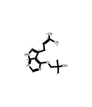 CC(C)(O)COc1ncnc2[nH]cc(CC=C(C#N)C#N)c12